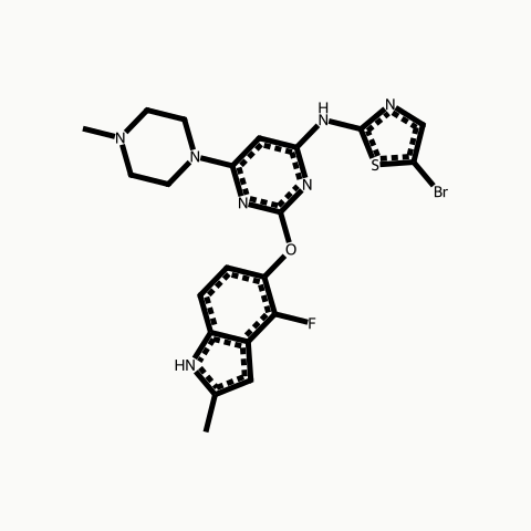 Cc1cc2c(F)c(Oc3nc(Nc4ncc(Br)s4)cc(N4CCN(C)CC4)n3)ccc2[nH]1